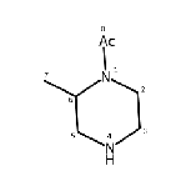 [CH2]C(=O)N1CCNCC1C